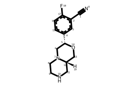 N#Cc1cc([C@H]2CN3CCNC[C@H]3CO2)ccc1F